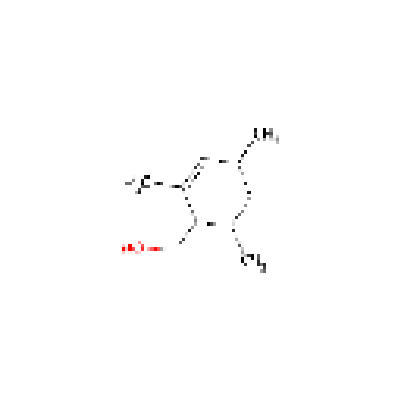 CC1=CC(C)CC(C)C1CO